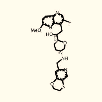 COc1ccc2ncc(F)c(C[C@H](O)[C@@H]3CC[C@@H](NCc4cc5c(cn4)SCCO5)CO3)c2n1